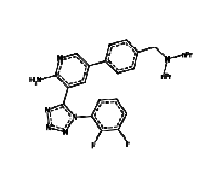 CCCN(CCC)Cc1ccc(-c2cnc(N)c(-c3nnnn3-c3cccc(F)c3F)c2)cc1